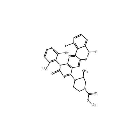 Cc1ccnc(C(C)C)c1-n1c(=O)nc(N2CCN(C(=O)OC(C)(C)C)C[C@@H]2C)c2cc(F)c(-c3c(F)cccc3C(F)F)nc21